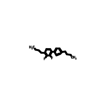 CCCCc1ccc(-c2ccc(CCCC)c(F)c2F)cc1